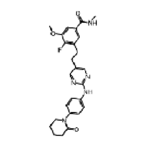 CNC(=O)c1cc(CCc2cnc(Nc3ccc(N4CCCCC4=O)cc3)nc2)c(F)c(OC)c1